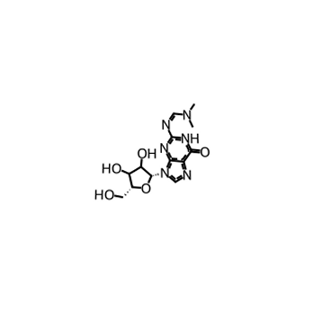 CN(C)/C=N\c1nc2c(ncn2[C@@H]2O[C@H](CO)C(O)C2O)c(=O)[nH]1